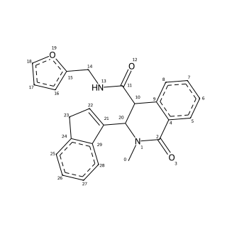 CN1C(=O)c2ccccc2C(C(=O)NCc2ccco2)C1C1=CCc2ccccc21